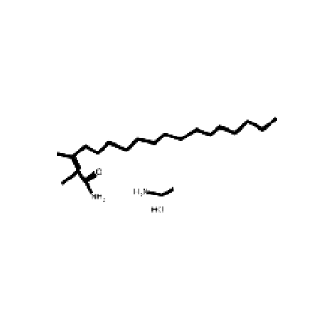 CCCCCCCCCCCCCCCC(C)=C(C)C(N)=O.CCN.Cl